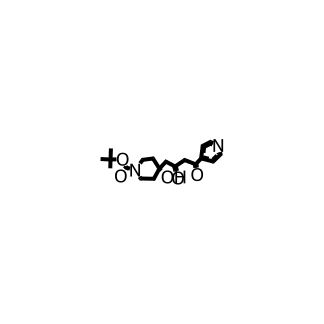 CC(C)(C)OC(=O)N1CCC(O)(CC(=O)CC(=O)c2ccncc2)CC1